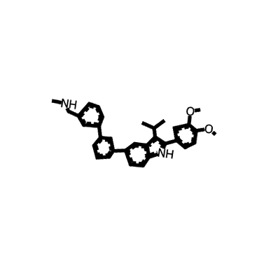 CNCc1cccc(-c2cccc(-c3ccc4[nH]c(-c5ccc(OC)c(OC)c5)c(C(C)C)c4c3)c2)c1